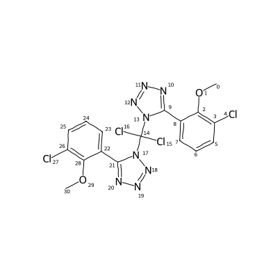 COc1c(Cl)cccc1-c1nnnn1C(Cl)(Cl)n1nnnc1-c1cccc(Cl)c1OC